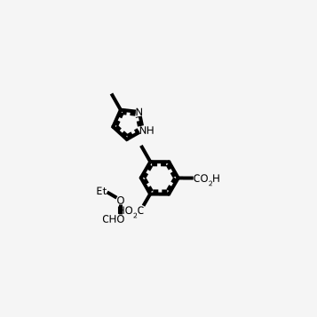 CCOC=O.Cc1cc(C(=O)O)cc(C(=O)O)c1.Cc1cc[nH]n1